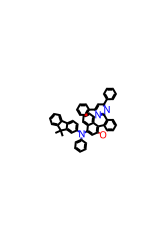 CC1(C)c2ccccc2-c2ccc(N(c3ccccc3)c3cc4oc5cccc(-c6nc(-c7ccccc7)cc(-c7ccccc7)n6)c5c4c4ccccc34)cc21